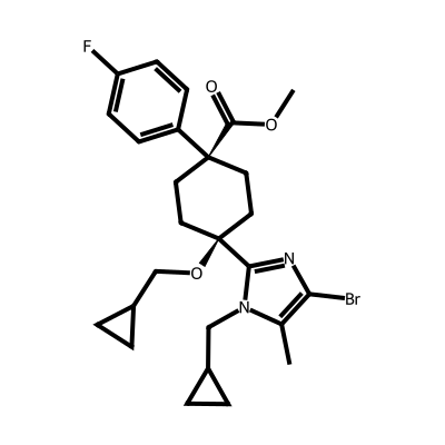 COC(=O)[C@]1(c2ccc(F)cc2)CC[C@@](OCC2CC2)(c2nc(Br)c(C)n2CC2CC2)CC1